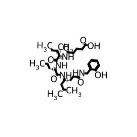 CCC[C@H](NC(=O)[C@@H](NC(=O)CCCC(=O)O)[C@@H](C)CC)C(=O)N[C@H](CCC(=O)NCc1ccccc1O)CC(C)C